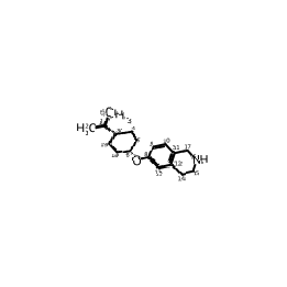 CC(C)[C@H]1CC[C@H](Oc2ccc3c(c2)CCNC3)CC1